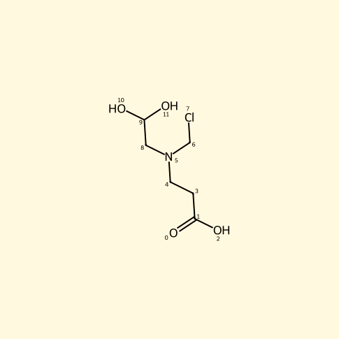 O=C(O)CCN(CCl)CC(O)O